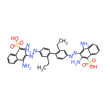 CCc1cc(/N=N/c2c(N)c(S(=O)(=O)O)c3ccccc3c2N)ccc1-c1ccc(/N=N/c2c(N)c(S(=O)(=O)O)c3ccccc3c2N)cc1CC